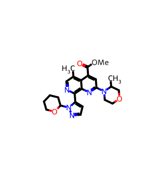 COC(=O)c1cc(N2CCOCC2C)nc2c(-c3ccnn3C3CCCCO3)ncc(C)c12